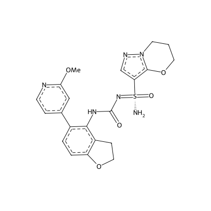 COc1cc(-c2ccc3c(c2NC(=O)N=[S@](N)(=O)c2cnn4c2OCCC4)CCO3)ccn1